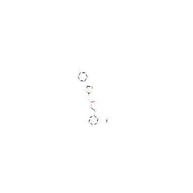 CCCC(=O)Oc1ccccc1C=CC(=O)Nc1nc(-c2ccc(Cl)cc2)cs1